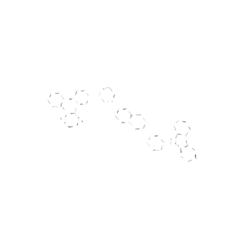 c1cc(-c2ccc3cc(-c4cccc(-n5c6ccccc6c6ccccc65)c4)ccc3c2)cc(-c2ccc3c4ccccc4c4nccnc4c3c2)c1